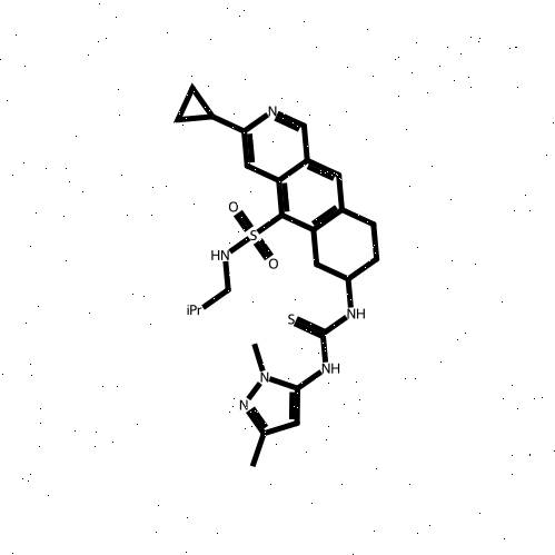 Cc1cc(NC(=S)NC2CCc3cc4cnc(C5CC5)cc4c(S(=O)(=O)NCC(C)C)c3C2)n(C)n1